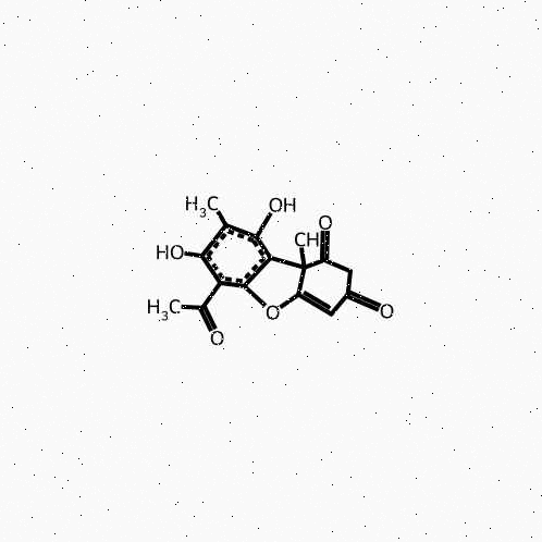 CC(=O)c1c(O)c(C)c(O)c2c1OC1=CC(=O)CC(=O)C12C